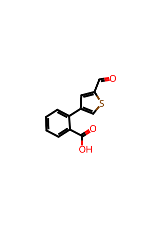 O=Cc1cc(-c2ccccc2C(=O)O)cs1